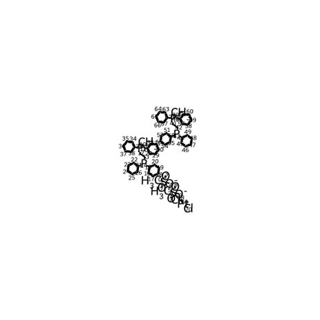 CS(=O)(=O)[O-].CS(=O)(=O)[O-].C[P+](CCP(c1ccccc1)c1ccccc1)(c1ccccc1)c1ccccc1.C[P+](CCP(c1ccccc1)c1ccccc1)(c1ccccc1)c1ccccc1.[Cl][Pt][Cl]